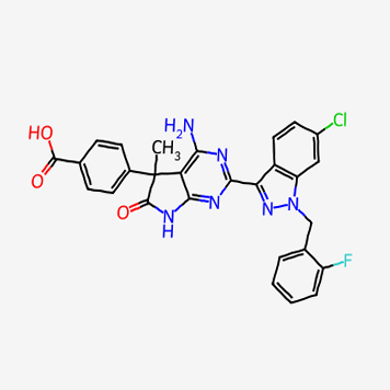 CC1(c2ccc(C(=O)O)cc2)C(=O)Nc2nc(-c3nn(Cc4ccccc4F)c4cc(Cl)ccc34)nc(N)c21